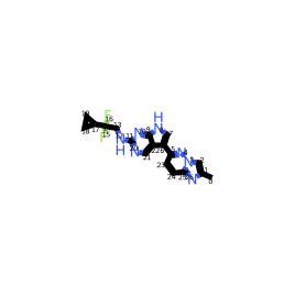 Cc1cn2nc(-c3c[nH]c4nc(NCC(F)(F)C5CC5)ncc34)ccc2n1